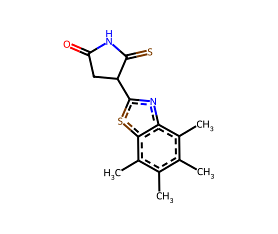 Cc1c(C)c(C)c2sc(C3CC(=O)NC3=S)nc2c1C